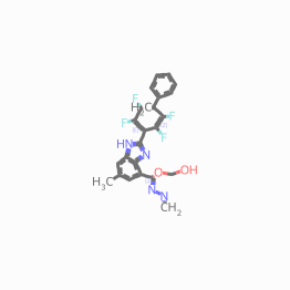 C=N/N=C(\OCO)c1cc(C)cc2[nH]c(C(/C(F)=C(/F)C(=C)c3ccccc3)=C(\F)CF)nc12